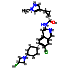 Cn1cc([C@H]2C[C@@H]2C(=O)Nc2cc3cc([C@H]4CC[C@@H](N5CC(F)C5)CC4)c(Cl)cc3cn2)cn1